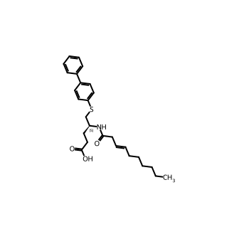 CCCCCCC=CCC(=O)N[C@@H](CCC(=O)O)CSc1ccc(-c2ccccc2)cc1